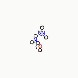 C1=CC(c2cc(-c3ccccc3)nc(-c3ccccc3)n2)CC(n2c3ccccc3c3c4c(ccc32)Oc2ccccc2C=C4)=C1